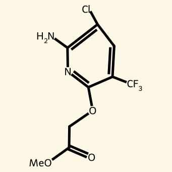 COC(=O)COc1nc(N)c(Cl)cc1C(F)(F)F